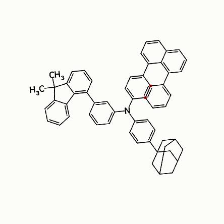 CC1(C)c2ccccc2-c2c(-c3cccc(N(c4ccc(-c5cccc6cccc(-c7ccccc7)c56)cc4)c4ccc(C56CC7CC(CC(C7)C5)C6)cc4)c3)cccc21